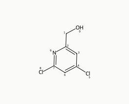 OCc1cc(Cl)cc(Cl)n1